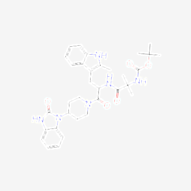 Cc1[nH]c2ccccc2c1CC(NC(=O)C(C)(C)NC(=O)OC(C)(C)C)C(=O)N1CCC(n2c(=O)[nH]c3ccccc32)CC1